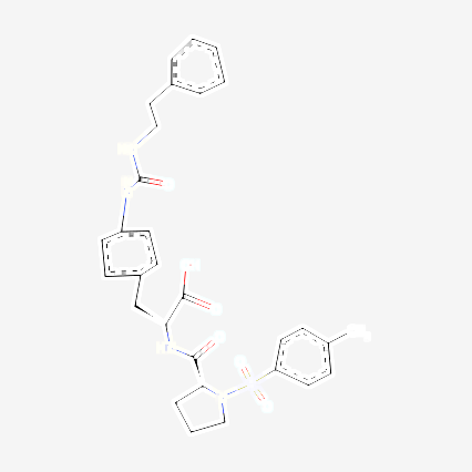 Cc1ccc(S(=O)(=O)N2CCC[C@H]2C(=O)N[C@@H](Cc2ccc(NC(=O)NCCc3ccccc3)cc2)C(=O)O)cc1